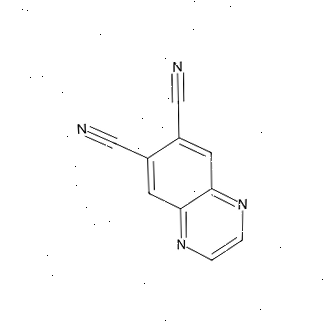 N#Cc1cc2nccnc2cc1C#N